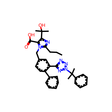 CCCc1nc(C(C)(C)O)c(C(=O)O)n1Cc1ccc(-c2ccccc2)c(-c2nnn(C(C)(C)c3ccccc3)n2)c1